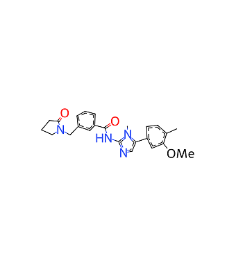 COc1cc(-c2cnc(NC(=O)c3cccc(CN4CCCC4=O)c3)n2C)ccc1C